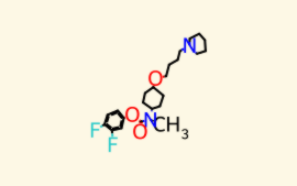 CN(C(=O)Oc1ccc(F)c(F)c1)[C@H]1CC[C@H](OCCCCN2CCCCC2)CC1